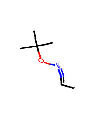 CC=NOC(C)(C)C